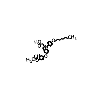 CCCCCCCCOc1ccc(-n2c(CC(=O)O)cc3cc(Oc4ccc(OC(C)C)cc4)ccc32)cc1